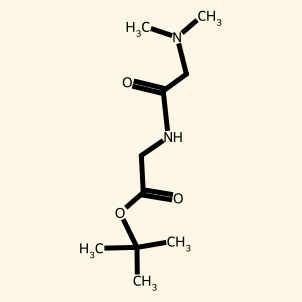 CN(C)CC(=O)NCC(=O)OC(C)(C)C